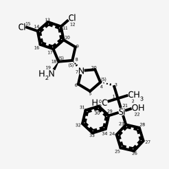 CC(C)(C[C@@H]1CCN([C@H]2Cc3c(Cl)cc(Cl)cc3[C@@H]2N)C1)[Si](O)(c1ccccc1)c1ccccc1